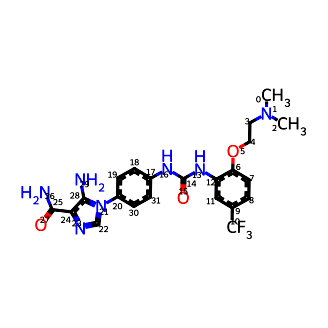 CN(C)CCOc1ccc(C(F)(F)F)cc1NC(=O)Nc1ccc(-n2cnc(C(N)=O)c2N)cc1